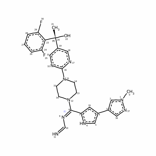 Cn1cc(-c2c[nH]c(/C(=N\C=N)N3CCN(c4ncc([C@@](C)(O)c5c(F)cccc5F)cn4)CC3)c2)cn1